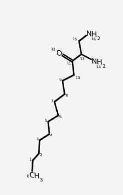 CCCCCCCCCCCC(=O)C(N)CN